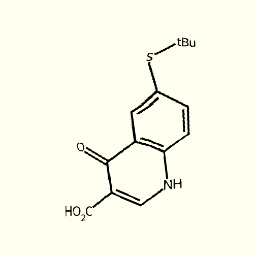 CC(C)(C)Sc1ccc2[nH]cc(C(=O)O)c(=O)c2c1